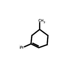 CC1CCC=C(C(C)C)C1